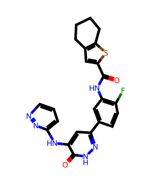 O=C(Nc1cc(-c2cc(Nc3cccnn3)c(=O)[nH]n2)ccc1F)c1cc2c(s1)CCCC2